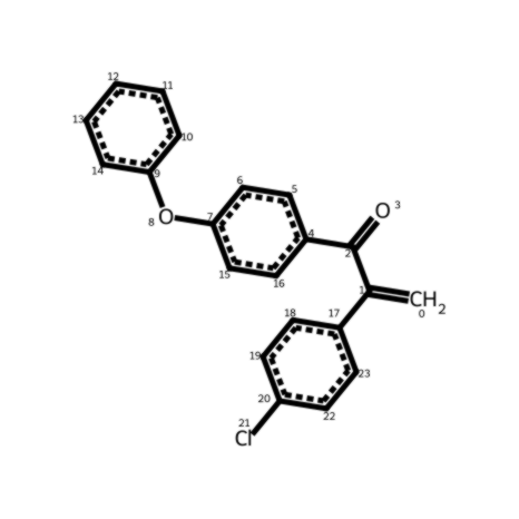 C=C(C(=O)c1ccc(Oc2ccccc2)cc1)c1ccc(Cl)cc1